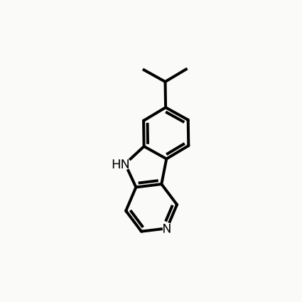 CC(C)c1ccc2c(c1)[nH]c1ccncc12